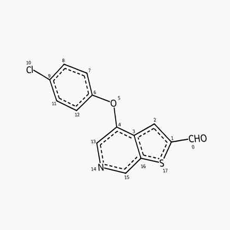 O=Cc1cc2c(Oc3ccc(Cl)cc3)cncc2s1